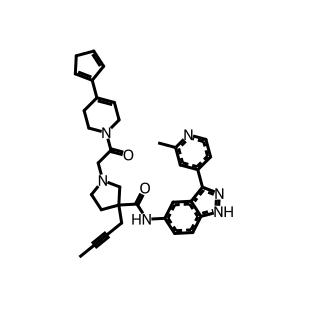 CC#CCC1(C(=O)Nc2ccc3[nH]nc(-c4ccnc(C)c4)c3c2)CCN(CC(=O)N2CC=C(C3=CCC=C3)CC2)C1